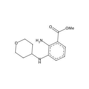 COC(=O)c1cccc(NC2CCOCC2)c1N